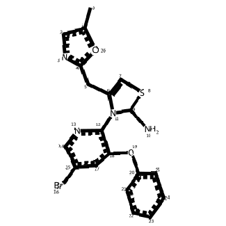 Cc1cnc(CC2=CSC(N)N2c2ncc(Br)cc2Oc2ccccc2)o1